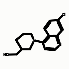 OCC1CCCN(c2ccnc3cc(Cl)ccc23)C1